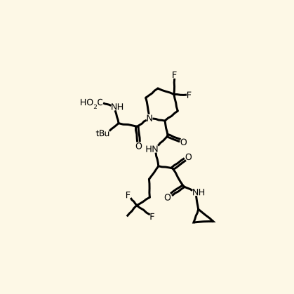 CC(F)(F)CCC(NC(=O)C1CC(F)(F)CCN1C(=O)C(NC(=O)O)C(C)(C)C)C(=O)C(=O)NC1CC1